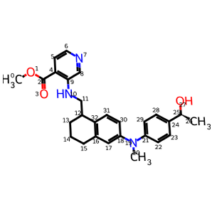 COC(=O)c1ccncc1NCC1CCCc2cc(N(C)c3ccc([C@H](C)O)cc3)ccc21